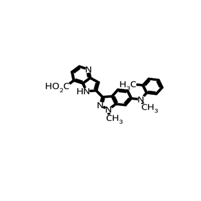 Cc1ccccc1N(C)c1ccc2c(-c3cc4nccc(C(=O)O)c4[nH]3)nn(C)c2c1